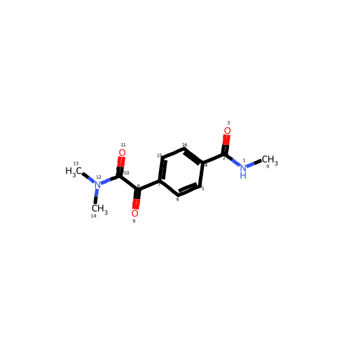 CNC(=O)c1ccc(C(=O)C(=O)N(C)C)cc1